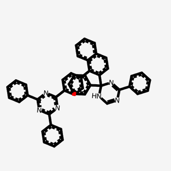 C1=NC(c2ccccc2)=NC(c2ccccc2)(c2ccc3ccccc3c2-c2ccc(-c3nc(-c4ccccc4)nc(-c4ccccc4)n3)cc2)N1